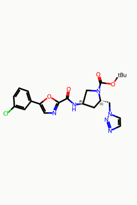 CC(C)(C)OC(=O)N1C[C@H](NC(=O)c2ncc(-c3cccc(Cl)c3)o2)C[C@H]1Cn1ccnn1